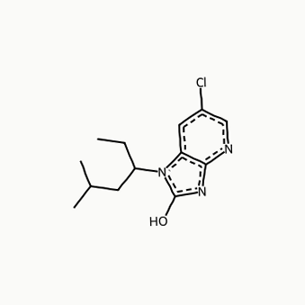 CCC(CC(C)C)n1c(O)nc2ncc(Cl)cc21